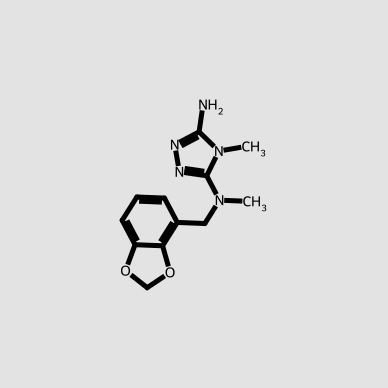 CN(Cc1cccc2c1OCO2)c1nnc(N)n1C